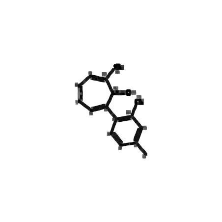 Cc1ccc(-c2ccccc(C(C)(C)C)c2=O)c(C#N)c1